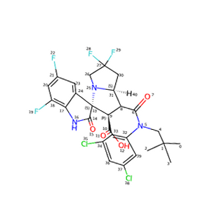 CC(C)(C)CN(C(=O)C1[C@@H](C(=O)O)[C@]2(C(=O)Nc3c(F)cc(F)cc32)N2CC(F)(F)C[C@@H]12)c1cc(Cl)cc(Cl)c1